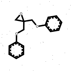 c1ccc(OCC2(COc3ccccc3)CO2)cc1